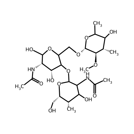 CO[C@H]1[C@H](OCC2OC(O)[C@@H](NC(C)=O)[C@@H](O)C2OC2O[C@@H](CO)[C@@H](C)C(O)C2NC(C)=O)OC(C)C(O)[C@@H]1C